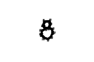 c1ccc2c(c1)CSCCCSC2